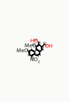 COc1ccc(/C=C\c2cc(CO)c(CO)c(OC)c2)c([N+](=O)[O-])c1